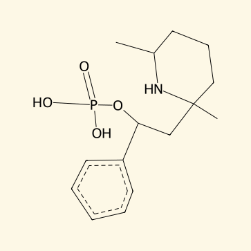 CC1CCCC(C)(CC(OP(=O)(O)O)c2ccccc2)N1